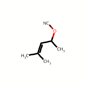 CC(C)=CC(C)OC#N